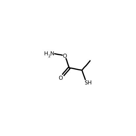 CC(S)C(=O)ON